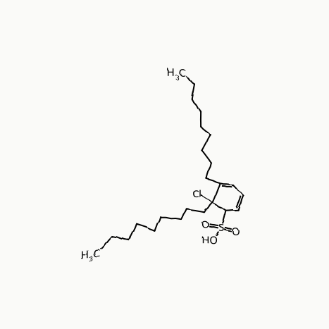 CCCCCCCCCC1=CC=CC(S(=O)(=O)O)C1(Cl)CCCCCCCCC